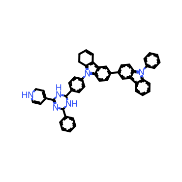 C1=Cc2c(n(-c3ccc(C4NC(C5=CCNC=C5)=NC(c5ccccc5)N4)cc3)c3ccc(-c4ccc5c(c4)c4ccccc4n5-c4ccccc4)cc23)CC1